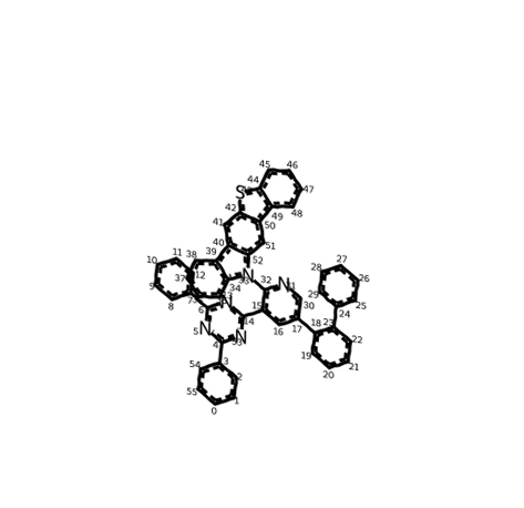 c1ccc(-c2nc(-c3ccccc3)nc(-c3cc(-c4ccccc4-c4ccccc4)cnc3-n3c4ccccc4c4cc5sc6ccccc6c5cc43)n2)cc1